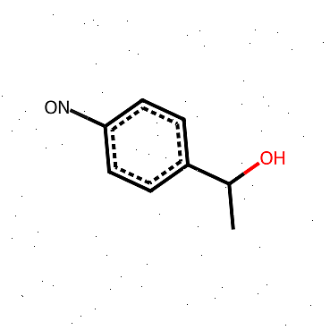 CC(O)c1ccc(N=O)cc1